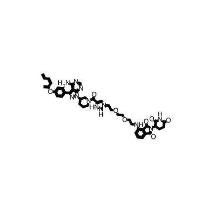 C=C/C=C\C(=C)Oc1ccc(-c2nn(C3CCCN(C(=O)C4=CN(CCOCCOCCNc5cccc6c5C(=O)N(C5CCC(=O)NC5=O)C6=O)NN4)C3)c3ncnc(N)c23)cc1